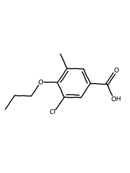 CCCOc1c(C)cc(C(=O)O)cc1Cl